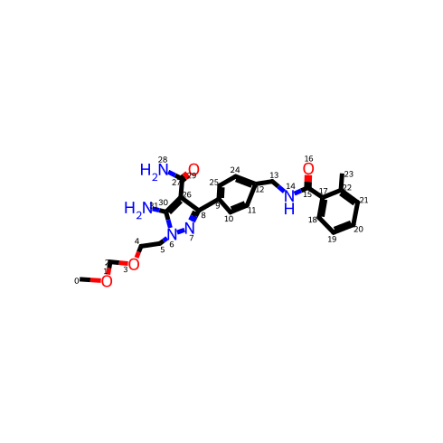 COCOCCn1nc(-c2ccc(CNC(=O)c3ccccc3C)cc2)c(C(N)=O)c1N